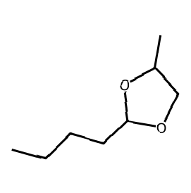 CCCCC1OCC(C)O1